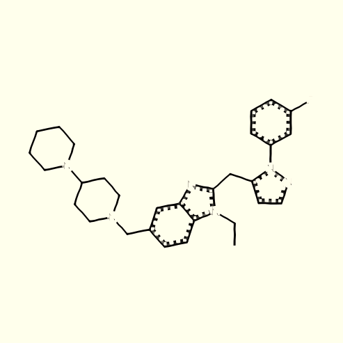 CCn1c(Cc2ccnn2-c2cccc(F)c2)nc2cc(CN3CCC(N4CCCCC4)CC3)ccc21